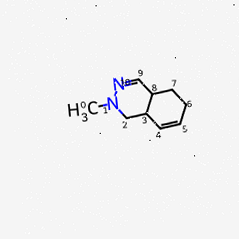 CN1CC2C=CCCC2C=N1